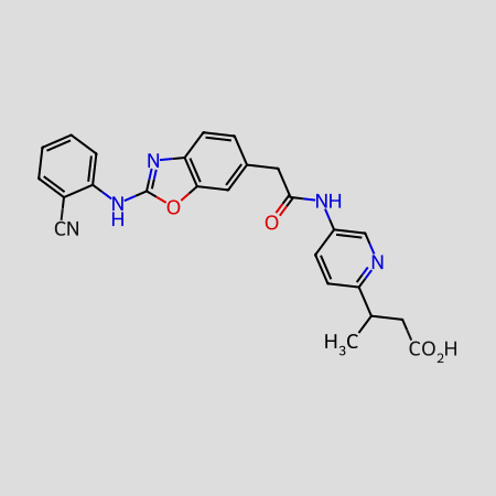 CC(CC(=O)O)c1ccc(NC(=O)Cc2ccc3nc(Nc4ccccc4C#N)oc3c2)cn1